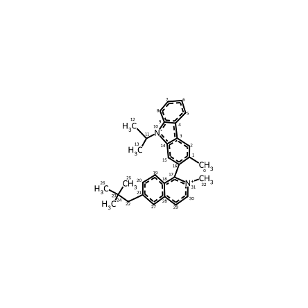 Cc1cc2c3ccccc3n(C(C)C)c2cc1-c1c2ccc(CC(C)(C)C)cc2cc[n+]1C